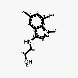 Cc1cc(F)c2c(c1)c(NCCO)cn2C